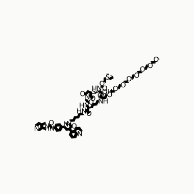 CC[S+](C)CCOC(=O)N[C@@H](CSC1CC(=O)N(CC(=O)N[C@@H](CCCCNC(=O)CCOCCOCCOCCOCCOCCOCCOCCOC)C(=O)NCCCCCCN2N=C(c3ccc(NC(=O)N4Cc5ccncc5C4)cc3)CC(c3cccc4ncccc34)C2=O)C1=O)C(=O)O